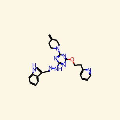 C=C1CCN(c2nc(N/N=C/c3c[nH]c4ccccc34)nc(OCCc3ccccn3)n2)CC1